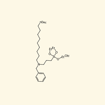 CCCCCCCCCCCCCCCCCCCN(CCC[Si](OCC)(OCC)OCC)Cc1ccccc1.Cl